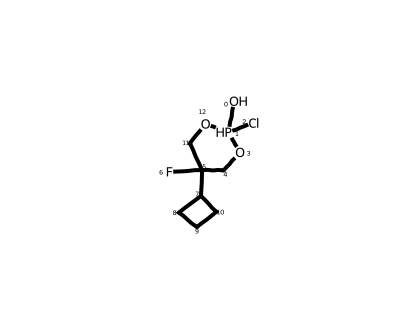 O[PH]1(Cl)OCC(F)(C2CCC2)CO1